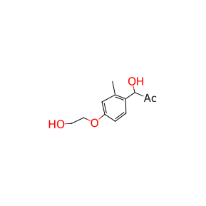 CC(=O)C(O)c1ccc(OCCO)cc1C